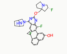 Oc1cc(-c2c(F)cc3c(N4CC5CCC(C4)N5)nc(OCC45CCCN4C[C@H](F)C5)nc3c2F)c2c(C3CC3)cccc2c1